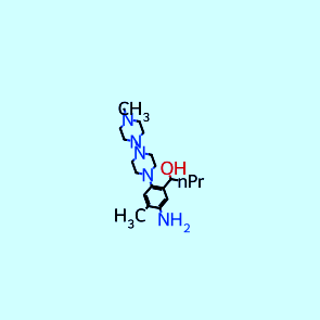 CCCC(O)c1cc(N)c(C)cc1N1CCN(N2CCN(C)CC2)CC1